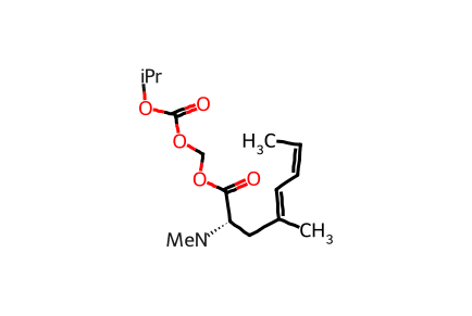 C/C=C\C=C(/C)C[C@H](NC)C(=O)OCOC(=O)OC(C)C